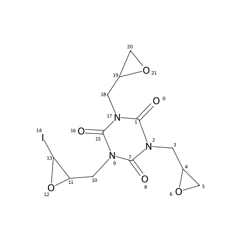 O=c1n(CC2CO2)c(=O)n(CC2OC2I)c(=O)n1CC1CO1